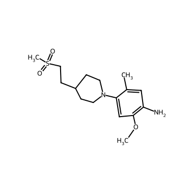 COc1cc(N2CCC(CCS(C)(=O)=O)CC2)c(C)cc1N